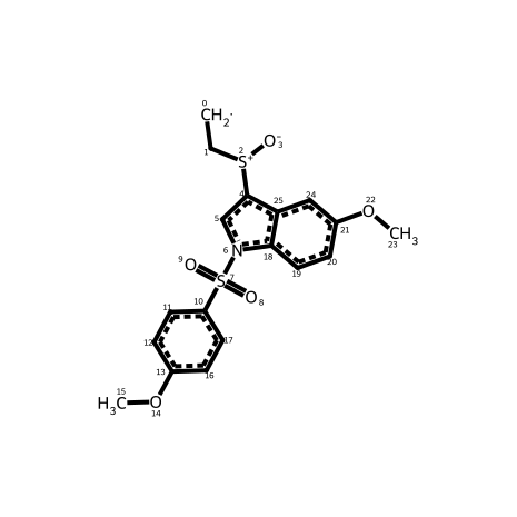 [CH2]C[S+]([O-])c1cn(S(=O)(=O)c2ccc(OC)cc2)c2ccc(OC)cc12